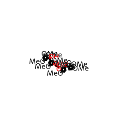 COc1cc(OC)c(OC)c(C(O)c2cc(OC)cc(OCCOc3c(OC)ccc(C(O)c4ccc(OC)c(OC)c4OC)c3OC)c2OC)c1